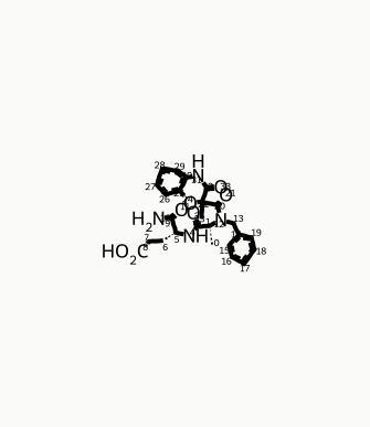 C[C@H](C(=O)N[C@H](CCC(=O)O)C(N)=O)N(Cc1ccccc1)C(=O)C1(C)Oc2ccccc2NC1=O